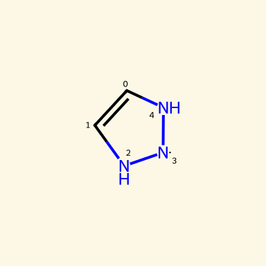 C1=CN[N]N1